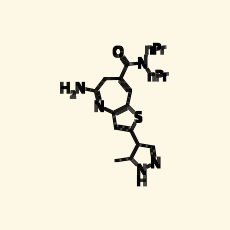 CCCN(CCC)C(=O)C1=Cc2sc(C3C=NNC3C)cc2N=C(N)C1